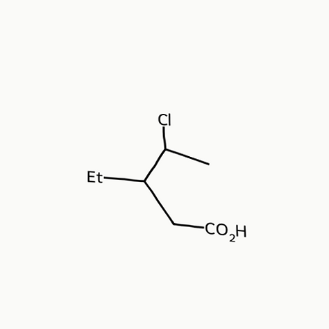 CCC(CC(=O)O)C(C)Cl